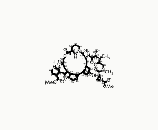 CCn1c(-c2cnccc2COC)c2c3cc(ccc31)-c1cc(O)cc(c1)C[C@H](NC(=O)[C@H](C(C)C)N(C)C(=O)CN(C)C(=O)[C@@H]1CN1C(=O)OC)C(=O)N1CCC[C@H](N1)C(=O)OCC(C)(C)C2